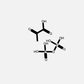 CC(=O)C(=O)O.O=P(O)(O)OP(=O)(O)O